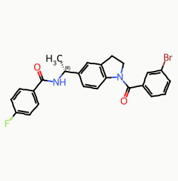 C[C@@H](NC(=O)c1ccc(F)cc1)c1ccc2c(c1)CCN2C(=O)c1cccc(Br)c1